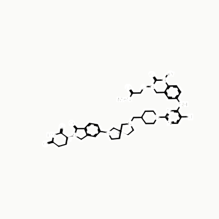 CNC(=O)CON1Cc2cc(Nc3nc(N4CCC(CN5CC[C@]6(CCN(c7ccc8c(c7)CN([C@H]7CCC(=O)NC7=O)C8=O)C6)C5)CC4)ncc3Cl)ccc2N(C(C)C)C1=O